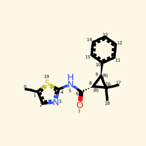 Cc1cnc(NC(=O)[C@@H]2[C@@H](c3ccccc3)C2(C)C)s1